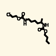 CCCCOC(=O)NC(C)CCCCNC(=O)OCCCl